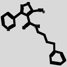 Nc1onc(-c2cccnc2)c1C(=O)NCCCCc1ccccc1